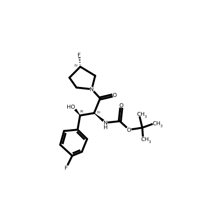 CC(C)(C)OC(=O)N[C@H](C(=O)N1CC[C@H](F)C1)[C@H](O)c1ccc(F)cc1